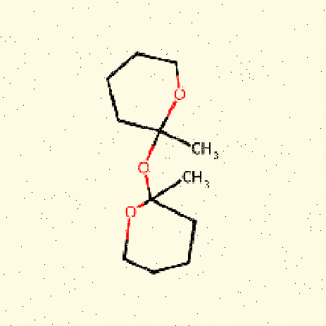 CC1(OC2(C)CCCCO2)CCCCO1